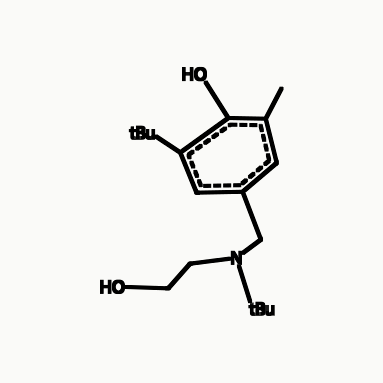 Cc1cc(CN(CCO)C(C)(C)C)cc(C(C)(C)C)c1O